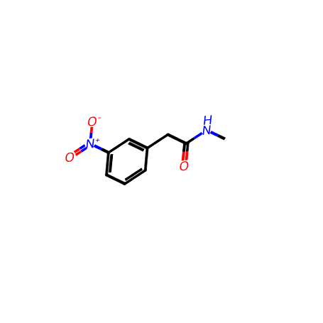 CNC(=O)Cc1cccc([N+](=O)[O-])c1